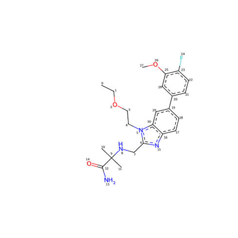 CCOCCn1c(CNC(C)(C)C(N)=O)nc2ccc(-c3ccc(F)c(OC)c3)cc21